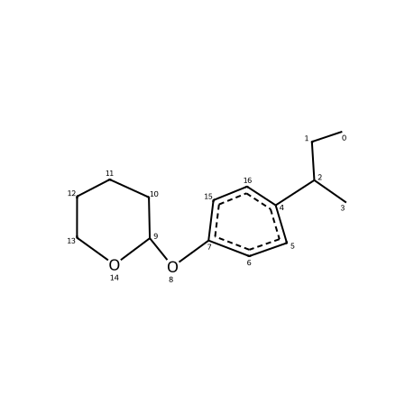 CCC(C)c1ccc(OC2CCCCO2)cc1